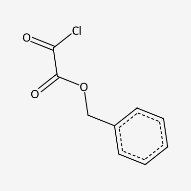 O=C(Cl)C(=O)OCc1ccccc1